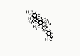 COc1ccc(N2CCN(c3c(C)c(C)c4c(c3C)OC(C)(C)C4(O)c3ccc(C)cc3)CC2)cc1